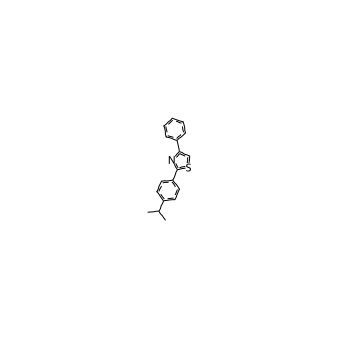 CC(C)c1ccc(-c2nc(-c3ccccc3)cs2)cc1